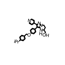 CC(C)c1ccc(COc2ccc(-c3c(-c4ccncc4)nn4c3NC(CO)CC4)cc2)cc1